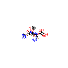 Cc1cc(SCC2=C(C(=O)O)N3C(=O)[C@@H](NC(=O)C(=NOCc4cc(O)c(O)cc4C(=O)O)c4csc(N)n4)[C@H]3SC2)n2ncnc2n1.[Na].[Na].[Na]